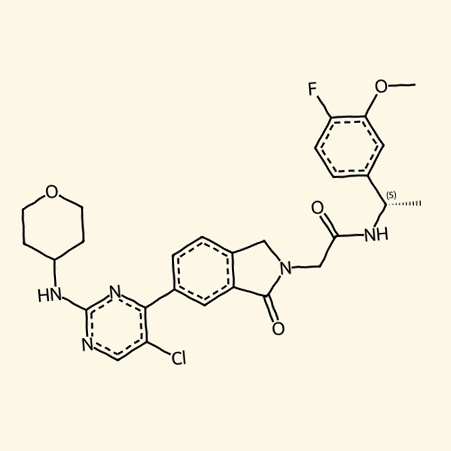 COc1cc([C@H](C)NC(=O)CN2Cc3ccc(-c4nc(NC5CCOCC5)ncc4Cl)cc3C2=O)ccc1F